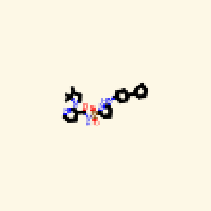 CC1CCN(c2ncccc2C(=O)NS(=O)(=O)c2cccc(Nc3ccc(-c4ccccc4)cc3)n2)C1(C)C